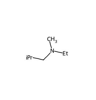 [CH2]CN(C)CC(C)C